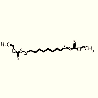 CCOC(=S)SSCCCCCCCCSSC(=S)OCC